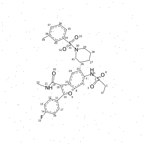 CCS(=O)(=O)Nc1cc2oc(-c3ccc(F)cc3)c(C(=O)NC)c2cc1[C@H]1CCCN(S(=O)(=O)c2cccc(C)c2)C1